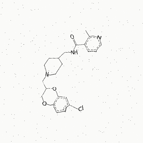 Cc1ncccc1C(=O)NCC1CCN(CC2COc3ccc(Cl)cc3O2)CC1